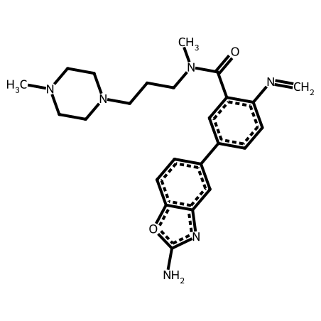 C=Nc1ccc(-c2ccc3oc(N)nc3c2)cc1C(=O)N(C)CCCN1CCN(C)CC1